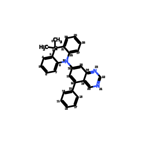 C[Si]1(C)c2ccccc2N(c2cc(-c3ccccc3)c3cncnc3c2)c2ccccc21